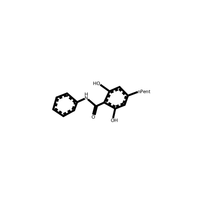 CCCCCc1cc(O)c(C(=O)Nc2ccccc2)c(O)c1